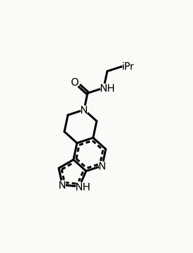 CC(C)CNC(=O)N1CCc2c(cnc3[nH]ncc23)C1